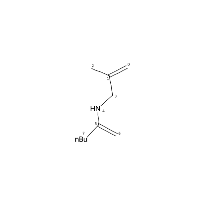 C=C(C)CNC(=C)CCCC